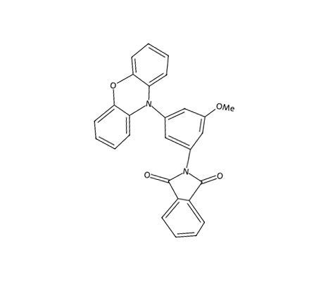 COc1cc(N2C(=O)c3ccccc3C2=O)cc(N2c3ccccc3Oc3ccccc32)c1